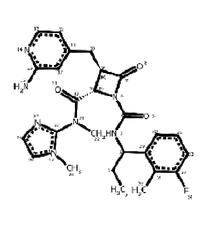 CCC(NC(=O)N1C(=O)[C@H](Cc2ccnc(N)c2)[C@H]1C(=O)N(C)c1nccn1C)c1cccc(F)c1C